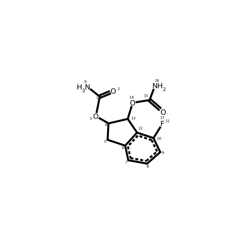 NC(=O)OC1Cc2cccc(F)c2C1OC(N)=O